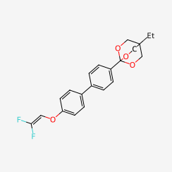 CCC12COC(c3ccc(-c4ccc(OC=C(F)F)cc4)cc3)(OC1)OC2